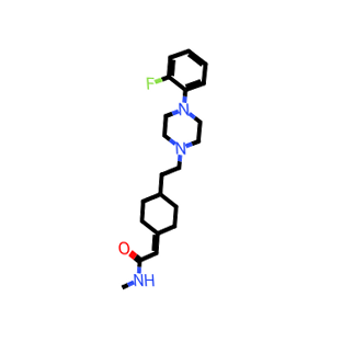 CNC(=O)C=C1CCC(CCN2CCN(c3ccccc3F)CC2)CC1